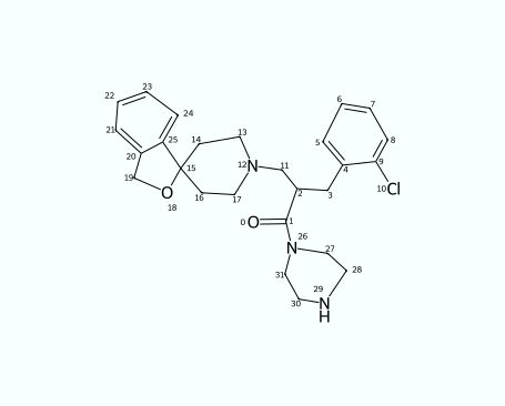 O=C(C(Cc1ccccc1Cl)CN1CCC2(CC1)OCc1ccccc12)N1CCNCC1